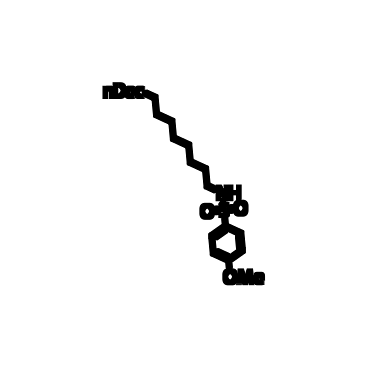 CCCCCCCCCCCCCCCCCCNS(=O)(=O)c1ccc(OC)cc1